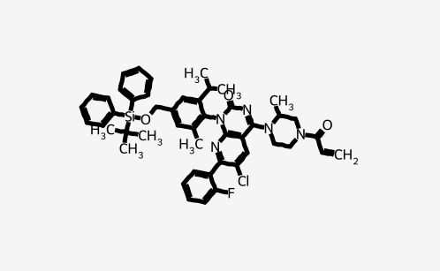 C=CC(=O)N1CCN(c2nc(=O)n(-c3c(C)cc(CO[Si](c4ccccc4)(c4ccccc4)C(C)(C)C)cc3C(C)C)c3nc(-c4ccccc4F)c(Cl)cc23)C(C)C1